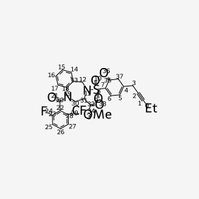 CCC#CCC1=CC=C(S(=O)(=O)N2Cc3ccccc3N(C(=O)c3c(F)cccc3C(F)(F)F)CC2C(=O)OC)C(=O)C1